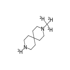 [2H]N1CCC2(CC1)CCN(C([2H])([2H])[2H])CC2